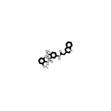 COc1ccc(NC(=O)Cc2cnc3ccccc3c2)cc1S(=O)(=O)Nc1c(C)cccc1C